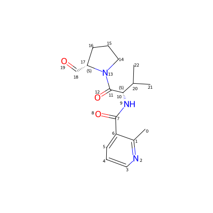 Cc1ncccc1C(=O)N[C@H](C(=O)N1CCC[C@H]1C=O)C(C)C